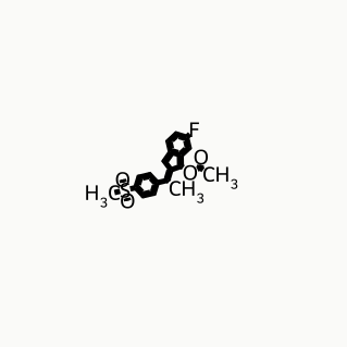 CC(=O)OC1=c2cc(F)ccc2=C/C1=C(/C)c1ccc(S(C)(=O)=O)cc1